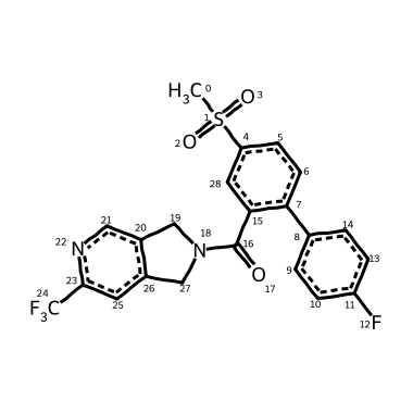 CS(=O)(=O)c1ccc(-c2ccc(F)cc2)c(C(=O)N2Cc3cnc(C(F)(F)F)cc3C2)c1